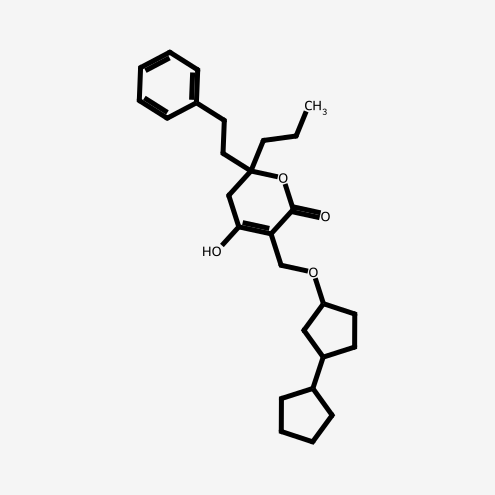 CCCC1(CCc2ccccc2)CC(O)=C(COC2CCC(C3CCCC3)C2)C(=O)O1